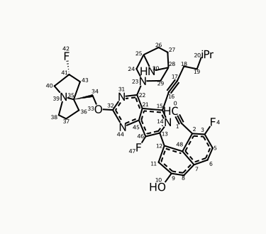 C#Cc1c(F)ccc2cc(O)cc(-c3nc(C#CCCC(C)C)c4c(N5CC6CCC(C5)N6)nc(OC[C@@]56CCCN5C[C@H](F)C6)nc4c3F)c12